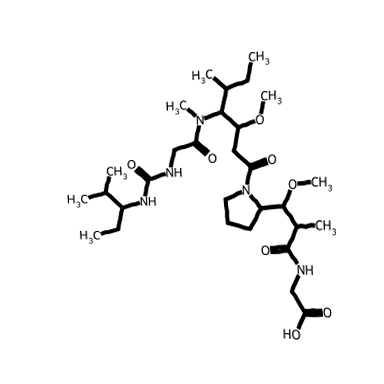 CCC(C)C(C(CC(=O)N1CCCC1C(OC)C(C)C(=O)NCC(=O)O)OC)N(C)C(=O)CNC(=O)NC(CC)C(C)C